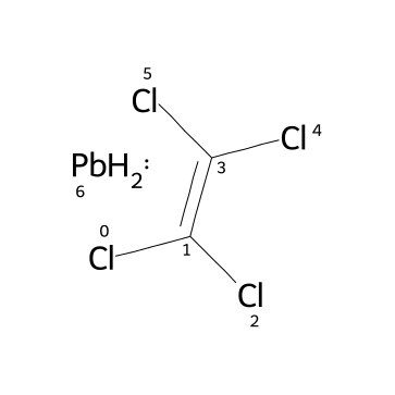 ClC(Cl)=C(Cl)Cl.[PbH2]